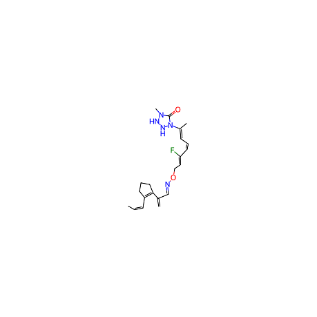 C=C(/C=N/OC/C=C(F)/C=C\C=C(/C)N1NNN(C)C1=O)C1=C(/C=C\C)CCC1